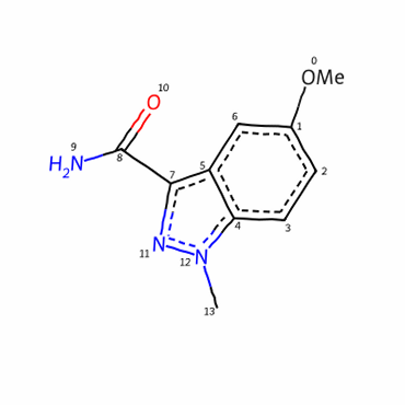 COc1ccc2c(c1)c(C(N)=O)nn2C